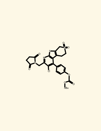 CCCCOC(=O)Oc1ccc(-c2c(Cl)c(CN3C(=O)CCC3=O)nc3sc4c(c23)CCS(=O)(=O)C4)cc1